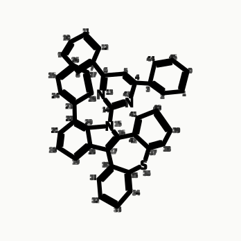 c1ccc(-c2cc(-c3ccccc3)nc(-n3c4c(c5cccc(-c6ccccc6)c53)-c3ccccc3Sc3ccccc3-4)n2)cc1